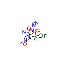 C=CC(=O)N1CCN(c2c(C#N)c(=O)n3c4c(c(-c5ccc(F)cc5F)c(Cl)cc24)OCC3Cn2ccnc2)[C@@H](C)C1